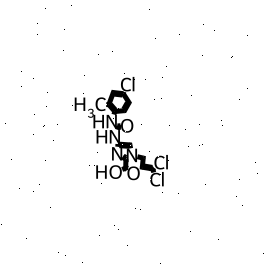 Cc1cc(Cl)ccc1NC(=O)Nc1cn(CC=C(Cl)Cl)c(C(=O)O)n1